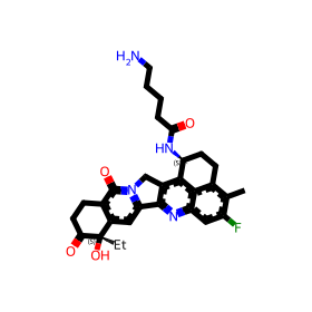 CC[C@@]1(O)C(=O)CCc2c1cc1n(c2=O)Cc2c-1nc1cc(F)c(C)c3c1c2[C@@H](NC(=O)CCCCN)CC3